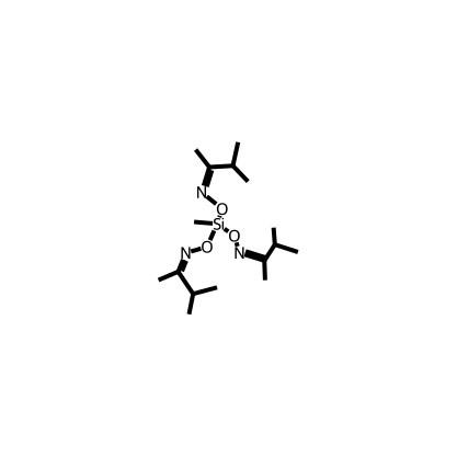 CC(=NO[Si](C)(ON=C(C)C(C)C)ON=C(C)C(C)C)C(C)C